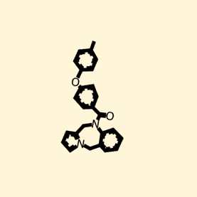 Cc1ccc(Oc2ccc(C(=O)N3Cc4cccn4Cc4ccccc43)cc2)cc1